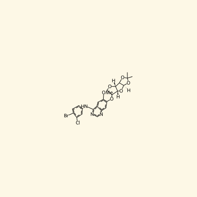 COc1cc2c(Nc3ccc(Br)c(Cl)c3)ncnc2cc1O[C@H]1CO[C@@H]2C3OC(C)(C)O[C@H]3O[C@H]12